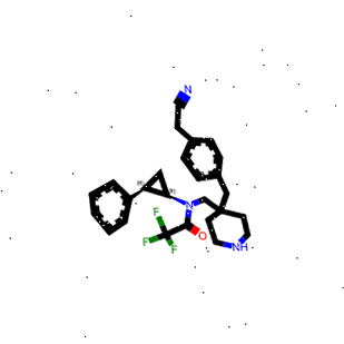 N#CCc1ccc(CC2(CN(C(=O)C(F)(F)F)[C@@H]3C[C@@H]3c3ccccc3)CCNCC2)cc1